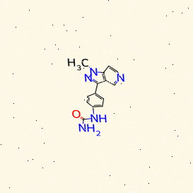 Cn1nc(-c2ccc(NC(N)=O)cc2)c2cnccc21